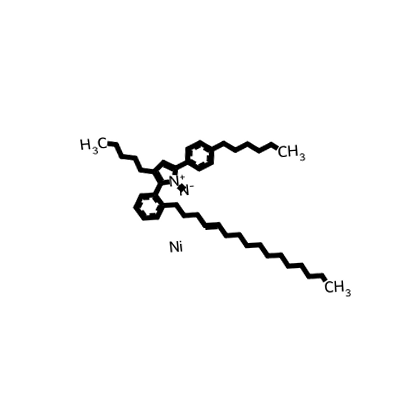 CCCCCCCCCCCC=CCCCc1ccccc1C1=C(CCCCC)C=C(c2ccc(CCCCCC)cc2)[N+]1=[N-].[Ni]